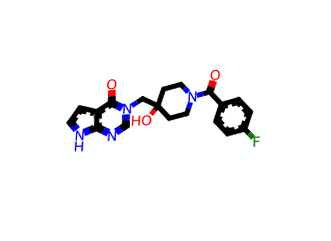 O=C(c1ccc(F)cc1)N1CCC(O)(Cn2cnc3[nH]ccc3c2=O)CC1